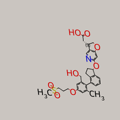 Cc1cc(OCCCS(C)(=O)=O)cc(CO)c1-c1cccc2c1CCC2Oc1cc2c(cn1)[C@H](CC(=O)O)CO2